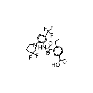 CCc1ccc(C(=O)O)cc1S(=O)(=O)Nc1cc(C(F)(F)F)ccc1N1CCCC(F)(F)C1